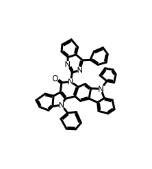 O=c1c2c3ccccc3n(-c3ccccc3)c2c2cc3c4ccccc4n(-c4ccccc4)c3cc2n1-c1nc(-c2ccccc2)c2ccccc2n1